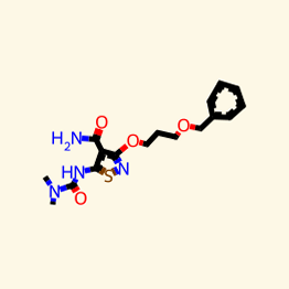 CN(C)C(=O)Nc1snc(OCCCOCc2ccccc2)c1C(N)=O